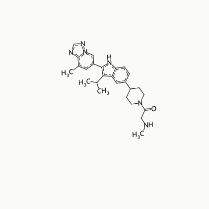 CNCC(=O)N1CCC(c2ccc3[nH]c(-c4cc(C)c5ncnn5c4)c(C(C)C)c3c2)CC1